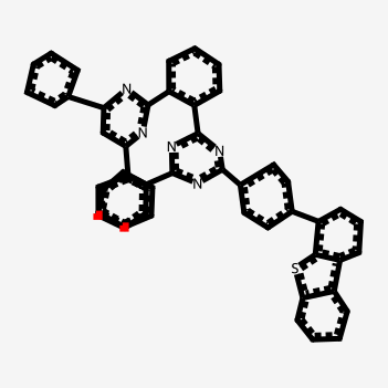 c1ccc(-c2cc(-c3ccccc3)nc(-c3ccccc3-c3nc(-c4ccccc4)nc(-c4ccc(-c5cccc6c5sc5ccccc56)cc4)n3)n2)cc1